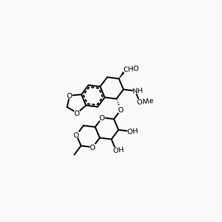 CONC1[C@H](C=O)Cc2cc3c(cc2[C@H]1OC1OC2COC(C)OC2C(O)C1O)OCO3